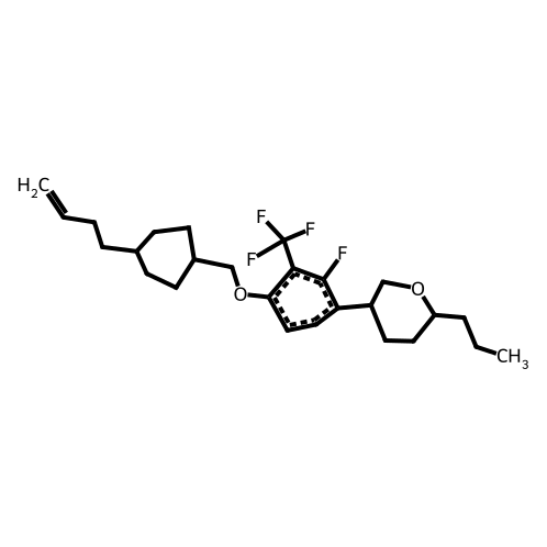 C=CCCC1CCC(COc2ccc(C3CCC(CCC)OC3)c(F)c2C(F)(F)F)CC1